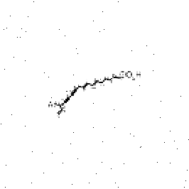 C=CC(C#CC#CCC=CCCCCCCCC(=O)O)C(C)=O